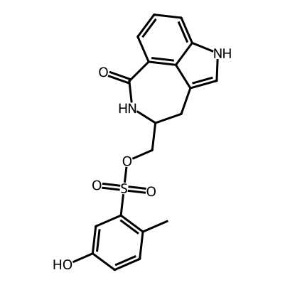 Cc1ccc(O)cc1S(=O)(=O)OCC1Cc2c[nH]c3cccc(c23)C(=O)N1